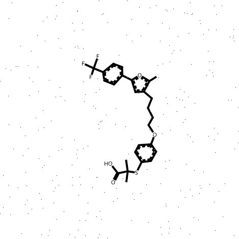 Cc1oc(-c2ccc(C(F)(F)F)cc2)cc1CCCCOc1ccc(SC(C)(C)C(=O)O)cc1